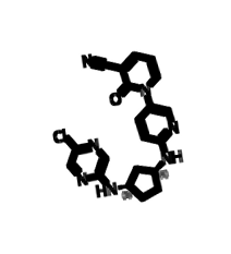 N#Cc1cccn(-c2ccc(N[C@H]3CC[C@H](Nc4cnc(Cl)cn4)C3)nc2)c1=O